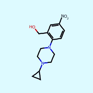 O=[N+]([O-])c1ccc(N2CCN(C3CC3)CC2)c(CO)c1